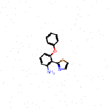 Nc1cccc(Oc2ccccc2)c1-c1nccs1